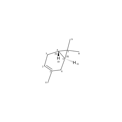 CC1=CC[C@H]2[C@H](C1)C2(C)C